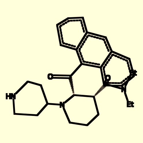 CCN(CC)C(=O)[C@@H]1CCCN(C2CCNCC2)[C@@H]1C(=O)c1c2ccccc2cc2ccccc12